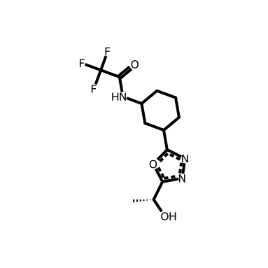 C[C@@H](O)c1nnc(C2CCCC(NC(=O)C(F)(F)F)C2)o1